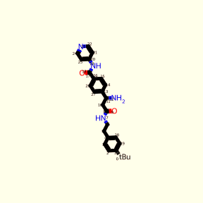 CC(C)(C)c1ccc(CCNC(=O)CC(N)c2ccc(C(=O)Nc3ccncc3)cc2)cc1